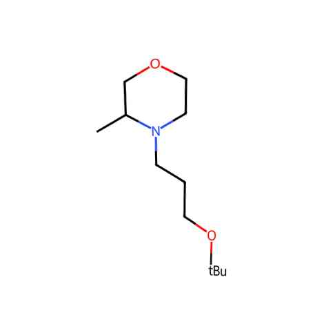 CC1COCCN1CCCOC(C)(C)C